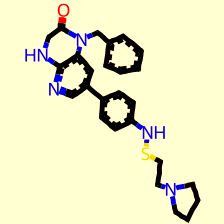 O=C1CNc2ncc(-c3ccc(NSCCN4CCCC4)cc3)cc2N1Cc1ccccc1